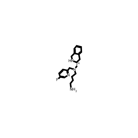 NCCCCN(Cc1ccc(F)cn1)C[C@H]1Cc2ccccc2CN1